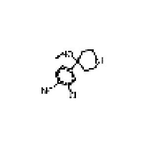 CC.N#Cc1ccc(C2(O)CCNCC2)cc1Cl